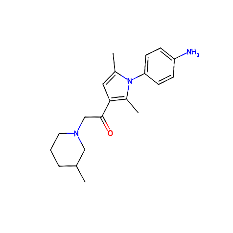 Cc1cc(C(=O)CN2CCCC(C)C2)c(C)n1-c1ccc(N)cc1